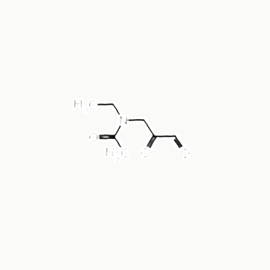 CCN(CC(=O)[C]=O)C(C)=O